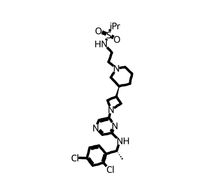 CC(C)S(=O)(=O)NCCN1CCC[C@@H](C2CN(c3cncc(N[C@H](C)c4ccc(Cl)cc4Cl)n3)C2)C1